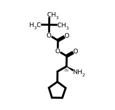 CC(C)(C)OC(=O)OC(=O)[C@@H](N)CC1CCCC1